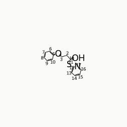 OC(CCOc1ccccc1)Sc1ccccn1